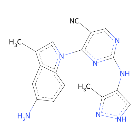 Cc1n[nH]cc1Nc1ncc(C#N)c(-n2cc(C)c3cc(N)ccc32)n1